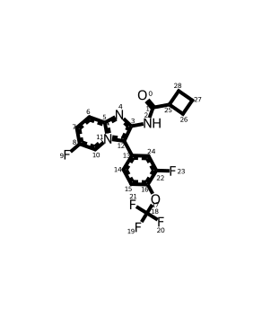 O=C(Nc1nc2ccc(F)cn2c1-c1ccc(OC(F)(F)F)c(F)c1)C1CCC1